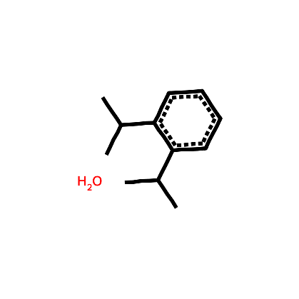 CC(C)c1ccccc1C(C)C.O